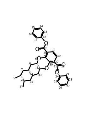 CCCCCCOc1c(C(=O)Oc2ccccc2)ccc(C(=O)Oc2ccccc2)c1OCCCCCC